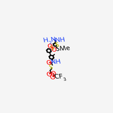 CSc1sc(C(=N)N)cc1S(=O)(=O)c1cccc(-c2ccc(NC(=O)CSCCC(=O)OC(=O)C(F)(F)F)cc2C)c1